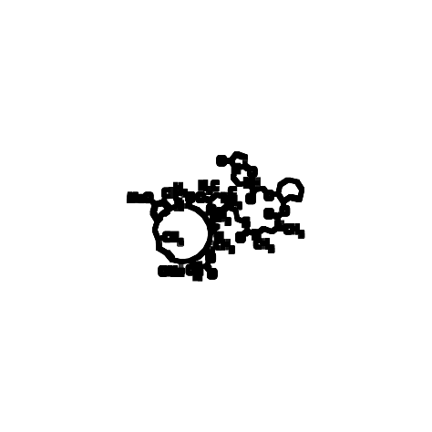 COc1cc2cc(c1Cl)N(C)C(=O)C[C@H](OC(=O)[C@H](C)N(C)C(=O)CCSC(=O)N(C)CCN(C)C(=O)OC1/C=C/CCCCC1OCC(=O)NCCN1C(=O)C=CC1=O)C1(C)C[C@H]1[C@H](C)[C@@H]1C[C@@](O)(NC(=O)O1)[C@H](OC)/C=C/C=C(\C)C2